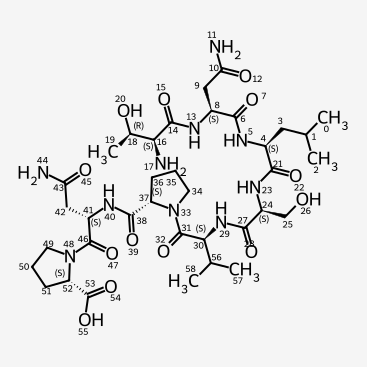 CC(C)C[C@H](NC(=O)[C@H](CC(N)=O)NC(=O)[C@@H](N)[C@@H](C)O)C(=O)N[C@@H](CO)C(=O)N[C@H](C(=O)N1CCC[C@H]1C(=O)N[C@@H](CC(N)=O)C(=O)N1CCC[C@H]1C(=O)O)C(C)C